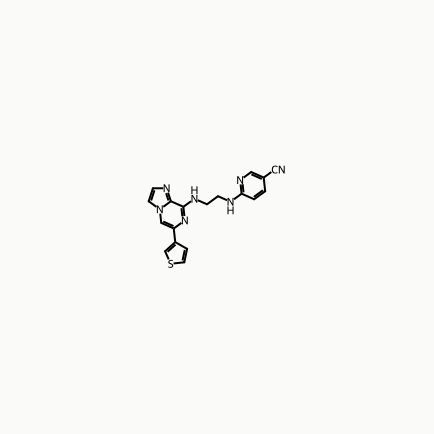 N#Cc1ccc(NCCNc2nc(-c3ccsc3)cn3ccnc23)nc1